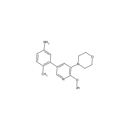 Cc1ccc(N)cc1-c1cnc(OC(C)C)c(N2CCOCC2)c1